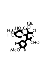 COc1c(F)cc(-c2c(C=O)nc(Cl)c(C(OC(C)(C)C)C(=O)O)c2N2CCC(C)(C)CC2)cc1F